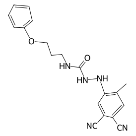 Cc1cc(C#N)c(C#N)cc1NNC(=O)NCCCOc1ccccc1